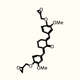 COc1cc(/C=C2\CCC/C(=C\c3ccc(OCC4CO4)c(OC)c3)C2=O)ccc1OCC1CO1